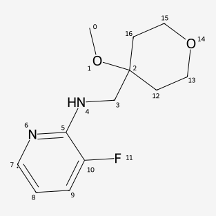 COC1(CNc2n[c]ccc2F)CCOCC1